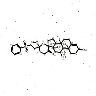 CCOC1(CCS(=O)(=O)c2ccccc2)OCC(=O)[C@]2(CC[C@H]3[C@@H]4CCC5=CC(=O)CC[C@]5(C)[C@H]4[C@@H](O)C[C@@]32C)O1